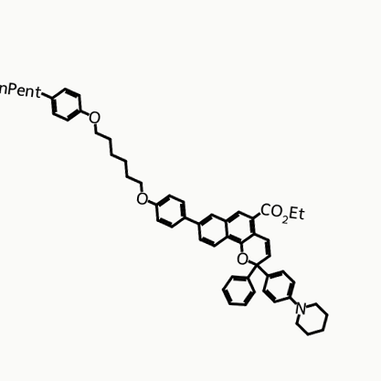 CCCCCc1ccc(OCCCCCCOc2ccc(-c3ccc4c5c(c(C(=O)OCC)cc4c3)C=CC(c3ccccc3)(c3ccc(N4CCCCC4)cc3)O5)cc2)cc1